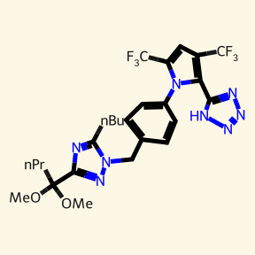 CCCCc1nc(C(CCC)(OC)OC)nn1Cc1ccc(-n2c(C(F)(F)F)cc(C(F)(F)F)c2-c2nnn[nH]2)cc1